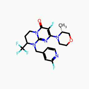 C[C@@H]1COCCN1c1nc2n(c(=O)c1F)CCC(C(F)(F)F)N2Cc1ccnc(F)c1